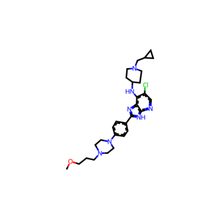 COCCCN1CCN(c2ccc(-c3nc4c(NC5CCN(CC6CC6)CC5)c(Cl)cnc4[nH]3)cc2)CC1